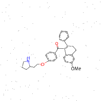 COc1ccc2c(c1)CCC(c1ccccc1)=C2C(=O)c1ccc(OCCC2CCCN2)cc1